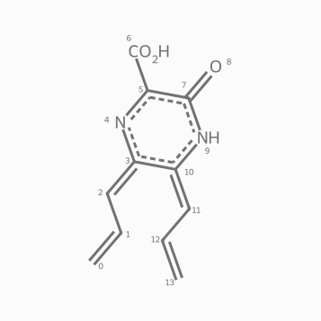 C=C/C=c1/nc(C(=O)O)c(=O)[nH]/c1=C/C=C